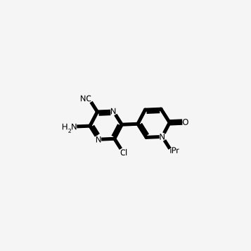 CC(C)n1cc(-c2nc(C#N)c(N)nc2Cl)ccc1=O